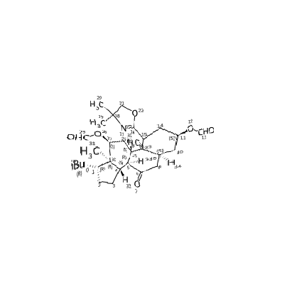 CC[C@@H](C)[C@H]1CC[C@H]2[C@@H]3C(=O)C[C@@H]4C[C@H](OC=O)CC(C5=NC(C)(C)CO5)[C@]4(C)[C@H]3C[C@H](OC=O)[C@]12C